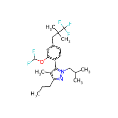 CCCc1nn(CC(C)C)c(-c2ccc(CC(C)(C)C(F)(F)F)cc2OC(F)F)c1C